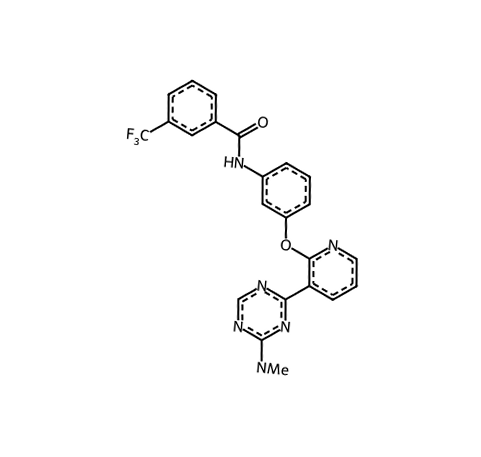 CNc1ncnc(-c2cccnc2Oc2cccc(NC(=O)c3cccc(C(F)(F)F)c3)c2)n1